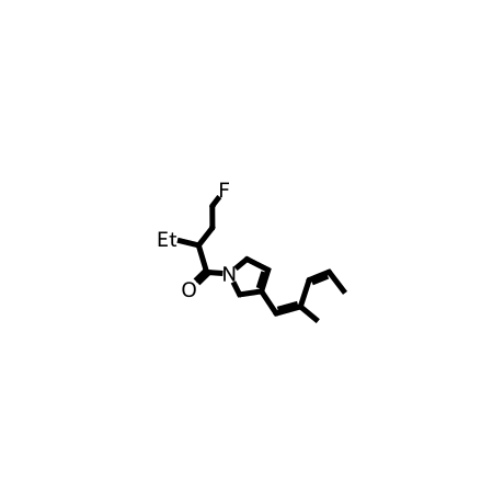 C/C=C\C(C)=C/C1=CCN(C(=O)C(CC)CCF)C1